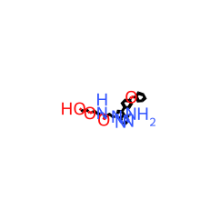 Nc1ncnc2c1c(-c1ccc(Oc3ccccc3)cc1)cn2CCC(=O)NCCOCCO